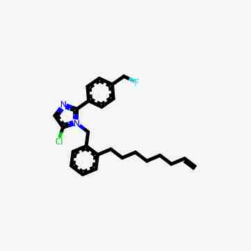 C=CCCCCCCc1ccccc1Cn1c(Cl)cnc1-c1ccc(CF)cc1